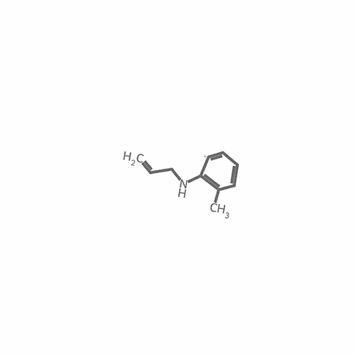 C=CCNc1[c]cccc1C